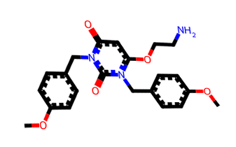 COc1ccc(Cn2c(OCCN)cc(=O)n(Cc3ccc(OC)cc3)c2=O)cc1